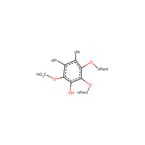 CCCCCOc1c(O)c(OC(=O)O)c(CCC)c(CCC)c1OCCCCC